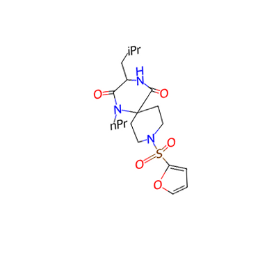 CCCN1C(=O)C(CC(C)C)NC(=O)C12CCN(S(=O)(=O)c1ccco1)CC2